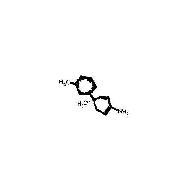 Cc1cccc([C@@]2(C)C=CC(N)=CC2)c1